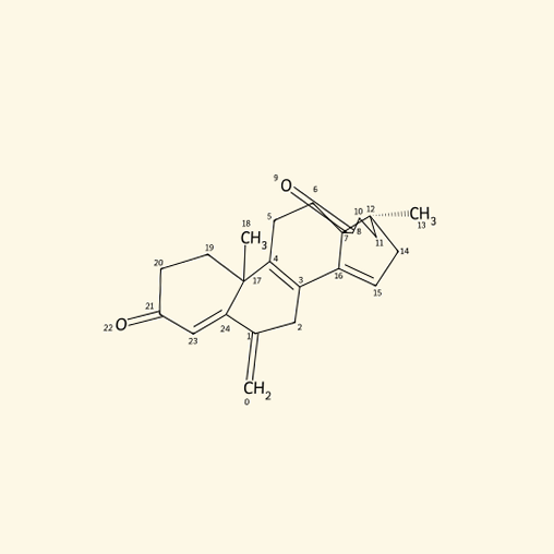 C=C1CC2=C(CCC34C(=O)CC[C@]3(C)CC=C24)C2(C)CCC(=O)C=C12